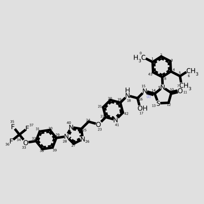 Cc1ccc(C(C)C)c(N2C(=O)CS/C2=N\C(O)Nc2ccc(OCc3ncn(-c4ccc(OC(F)(F)F)cc4)n3)nc2)c1